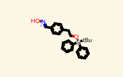 CC(C)(C)[Si](OCCc1ccc(/C=N/O)cc1)(c1ccccc1)c1ccccc1